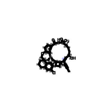 CC#C/C1=C\[C@H](O)CC[C@@H](C)S(=O)(=O)NC(=O)c2ccc3c(c2)N(C[C@@H]2CC[C@@H]12)C[C@@]1(CCCc2cc(Cl)ccc21)CO3